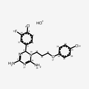 Cl.NC1=NC(c2ccc(Cl)c(F)c2)N(CCCOc2ccc(Cl)cc2)C(N)=N1